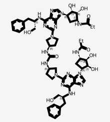 CCC(=O)N[C@H]1C[C@@H](n2cnc3c(N[C@H](CO)Cc4ccccc4)nc(N4CC[C@@H](NC(=O)N[C@@H]5CCN(c6nc(N[C@H](CO)Cc7ccccc7)c7ncn([C@@H]8C[C@H](NC(=O)CC)[C@@H](O)[C@H]8O)c7n6)C5)C4)nc32)[C@H](O)[C@@H]1O